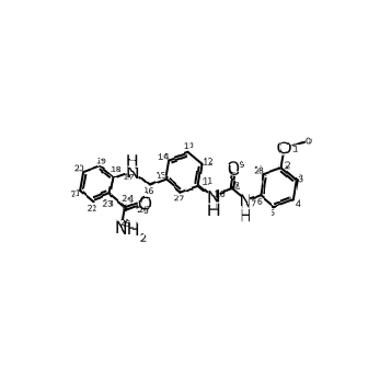 COc1cccc(NC(=O)Nc2cccc(CNc3ccccc3C(N)=O)c2)c1